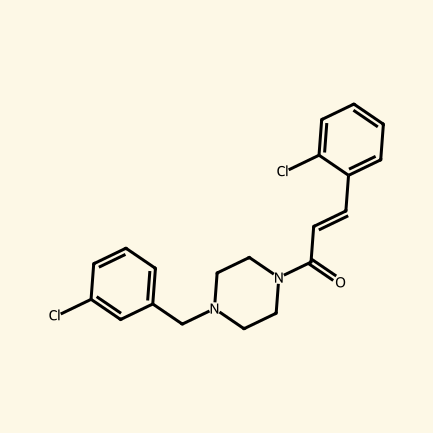 O=C(C=Cc1ccccc1Cl)N1CCN(Cc2cccc(Cl)c2)CC1